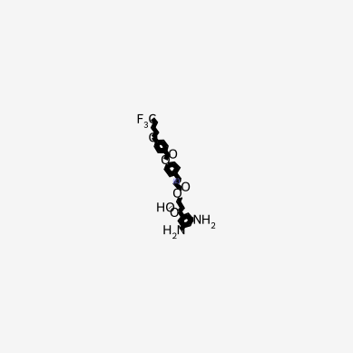 Nc1cc(N)cc(C(CCCOC(=O)/C=C/c2ccc(OC(=O)c3ccc(OCCCC(F)(F)F)cc3)cc2)OO)c1